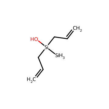 C=CC[Si](O)([SiH3])CC=C